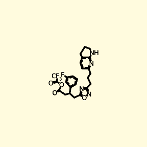 O=C(CC(Cc1nc(CCCc2ccc3c(n2)NCCC3)no1)c1cccc(F)c1)OC(=O)C(F)(F)F